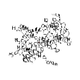 CC[C@H]1OC(=O)[C@H](C)[C@@H](O[C@H]2C[C@@](C)(OC)[C@@H](O)[C@H](C)O2)[C@H](C)[C@@H](O[C@@H]2O[C@H](C)C[C@H](N(C)C)[C@H]2O)[C@](C)(O)C[C@@H](C)[C@@H]2N[C@@H](COCCOC)O[C@@H]([C@H]2C)[C@]1(C)O.C[C@@H]1C[C@H]2[C@@H]3CCC4=CC(=O)C=C[C@]4(C)[C@@]3(F)[C@@H](O)C[C@]2(C)[C@@]1(O)C(=O)CO.C[C@]12CCC(=O)C=C1CC[C@@H]1[C@@H]2[C@@H](O)C[C@@]2(C)[C@H]1CC[C@]2(O)C(=O)CO